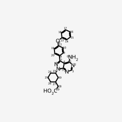 Nc1ncnc2c1c(-c1ccc(Oc3ccccc3)cc1)nn2[C@@H]1CCCC(CC(=O)O)C1